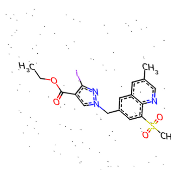 CCOC(=O)c1cn(Cc2cc(S(C)(=O)=O)c3ncc(C)cc3c2)nc1I